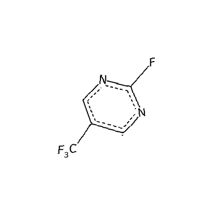 Fc1n[c]c(C(F)(F)F)cn1